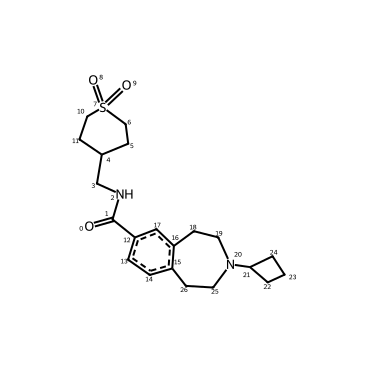 O=C(NCC1CCS(=O)(=O)CC1)c1ccc2c(c1)CCN(C1CCC1)CC2